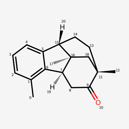 Cc1cccc2c1[C@@H]1CC(=O)[C@@]3(C)CC[C@@H]2[C@@]1(C)C3